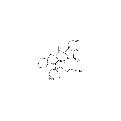 N#CCCCC1(NC(=O)C(CC2CCCCC2)NC2=NC(=O)c3ccccc32)CCNCC1